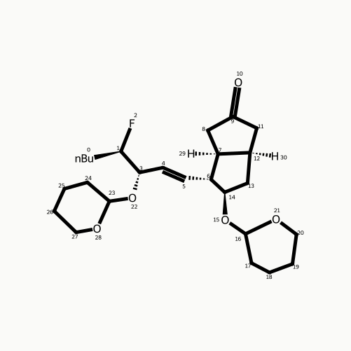 CCCC[C@@H](F)[C@H](C=C[C@@H]1[C@H]2CC(=O)C[C@H]2C[C@H]1OC1CCCCO1)OC1CCCCO1